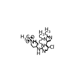 Cc1ncc(-c2nc(NC3CCN(S(C)(=O)=O)CC3)ncc2Cl)n1C(C)C